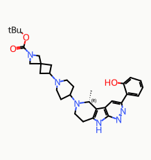 C[C@@H]1c2c([nH]c3nnc(-c4ccccc4O)cc23)CCN1C1CCN(C2CC3(C2)CN(C(=O)OC(C)(C)C)C3)CC1